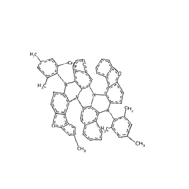 Cc1cc(C)c(B2c3ccc4oc5ccccc5c4c3N3c4cc5ccccc5c5c4N(c4cc6ccccc6c2c43)c2c(ccc3oc4cc(C)ccc4c23)B5c2c(C)cc(C)cc2C)c(C)c1